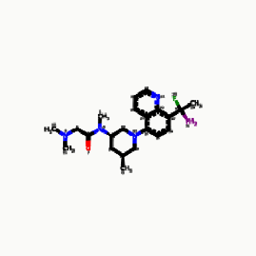 C[C@H]1C[C@@H](N(C)C(=O)CN(C)C)CN(c2ccc(C(C)(F)P)c3ncccc23)C1